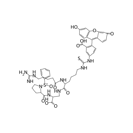 N=C(N)NCCCCC(=O)NC(CCCCNC(=S)Nc1ccc(-c2c3ccc(=O)cc-3oc3cc(O)ccc23)c(C(=O)O)c1)C(=O)NCC(NC(=O)C1CCCN1[S+]([O-])c1ccccc1)C(=O)O